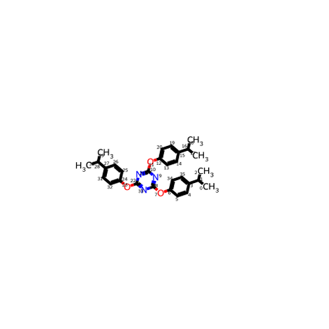 CC(C)c1ccc(Oc2nc(Oc3ccc(C(C)C)cc3)nc(Oc3ccc(C(C)C)cc3)n2)cc1